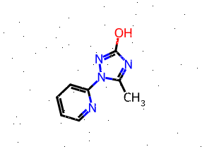 Cc1nc(O)nn1-c1ccccn1